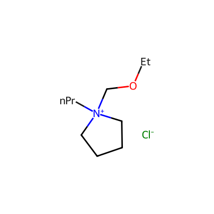 CCC[N+]1(COCC)CCCC1.[Cl-]